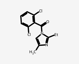 CCc1nc(C)cn1C(=O)c1c(Cl)cccc1Cl